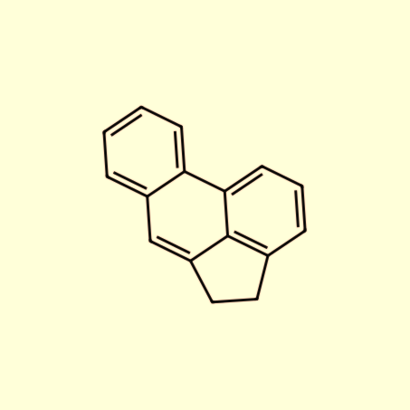 c1ccc2c(c1)cc1c3c(cccc32)CC1